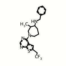 CC1CN(c2ncnc3sc(CC(F)(F)F)cc23)CCCC1NCc1ccccc1